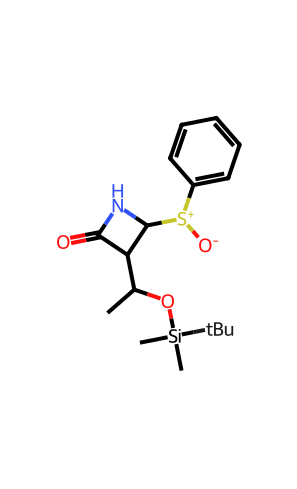 CC(O[Si](C)(C)C(C)(C)C)C1C(=O)NC1[S+]([O-])c1ccccc1